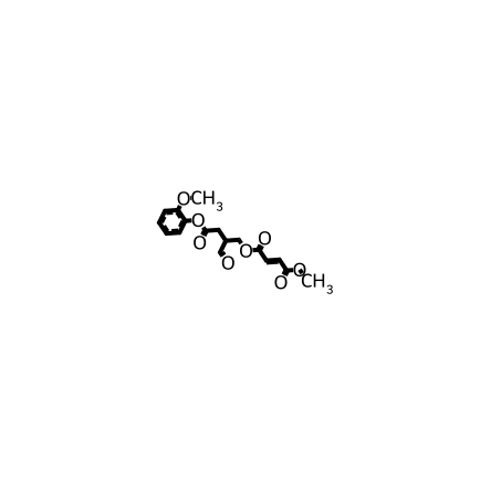 COC(=O)C=CC(=O)OCC(C=O)CC(=O)Oc1ccccc1OC